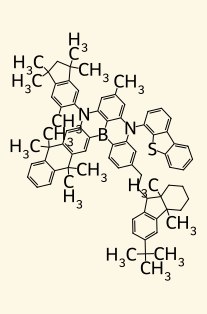 Cc1cc2c3c(c1)N(c1cccc4c1sc1ccccc14)c1cc(CCC4c5ccc(C(C)(C)C)cc5C5(C)CCCCC45C)ccc1B3c1cc3c(cc1N2c1cc2c(cc1C)C(C)(C)CC2(C)C)C(C)(C)c1ccccc1C3(C)C